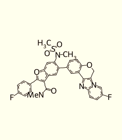 CNC(=O)c1c(-c2ccc(F)cc2)oc2cc(N(C)S(C)(=O)=O)c(-c3ccc4c(c3)-c3nc5ccc(F)cn5c3CO4)cc12